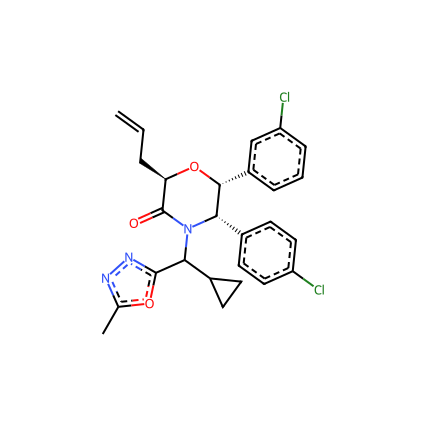 C=CC[C@H]1O[C@H](c2cccc(Cl)c2)[C@H](c2ccc(Cl)cc2)N(C(c2nnc(C)o2)C2CC2)C1=O